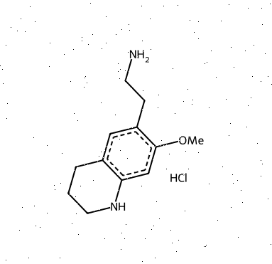 COc1cc2c(cc1CCN)CCCN2.Cl